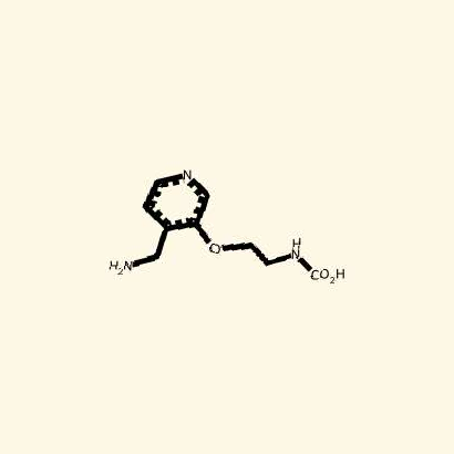 NCc1ccncc1OCCNC(=O)O